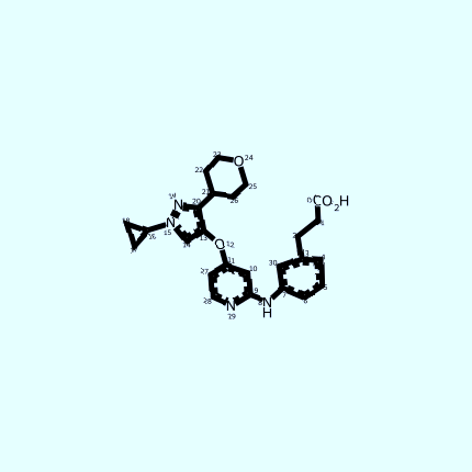 O=C(O)CCc1cccc(Nc2cc(Oc3cn(C4CC4)nc3C3CCOCC3)ccn2)c1